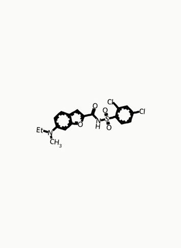 CCN(C)c1ccc2cc(C(=O)NS(=O)(=O)c3ccc(Cl)cc3Cl)oc2c1